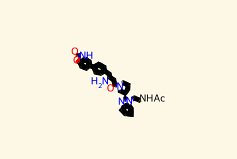 CC(=O)NCCn1c([C@@H]2CCCN(C(=O)C[C@H](N)Cc3ccc(-c4ccc5oc(=O)[nH]c5c4)cc3)C2)nc2ccccc21